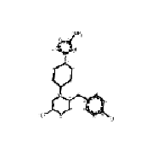 CC1CN(C2CCN(c3nnc(N)[nH]3)CC2)[C@@H](Cc2ccc(Cl)cc2)CO1